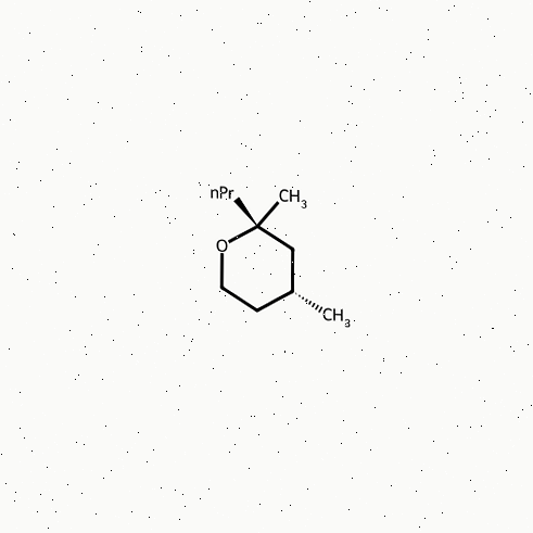 CCC[C@@]1(C)C[C@H](C)CCO1